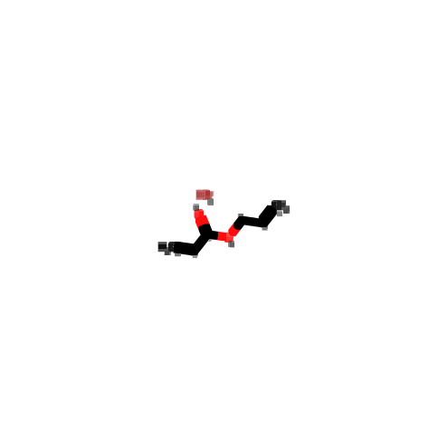 Br.C=CCOC(=O)C=C